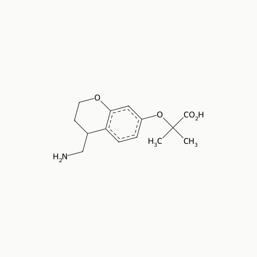 CC(C)(Oc1ccc2c(c1)OCCC2CN)C(=O)O